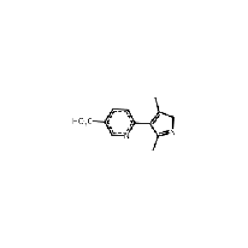 CC1=NCC(C)=C1c1ccc(C(=O)O)cn1